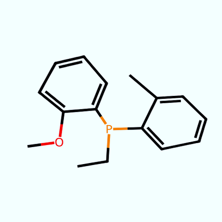 CCP(c1ccccc1C)c1ccccc1OC